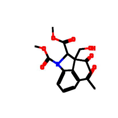 COC(=O)C1N(C(=O)OC)c2cccc(C(C)=O)c2C1(CO)C(C)=O